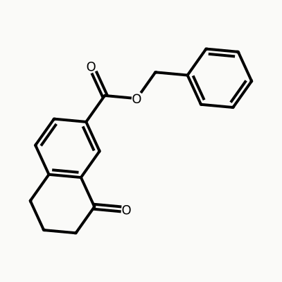 O=C(OCc1ccccc1)c1ccc2c(c1)C(=O)CCC2